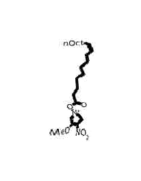 CCCCCCCC/C=C\CCCCCCCC(=O)O[n+]1ccc([N+](=O)[O-])c(OC)c1